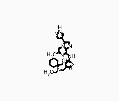 CCN(Cc1cc(Nc2nc(C)cn3c(-c4cn[nH]c4)cnc23)sn1)C1(CO)CCCCC1